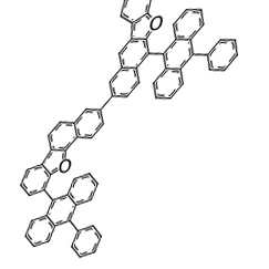 c1ccc(-c2c3ccccc3c(-c3c4ccc(-c5ccc6c(ccc7c8cccc(-c9c%10ccccc%10c(-c%10ccccc%10)c%10ccccc9%10)c8oc67)c5)cc4cc4c3oc3ccccc34)c3ccccc23)cc1